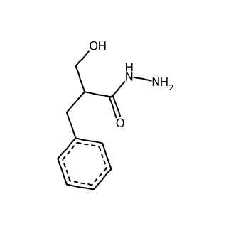 NNC(=O)C(CO)Cc1ccccc1